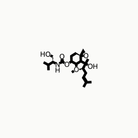 COC1C(OC(=O)N[C@@H](CO)C(C)C)CC[C@]2(CO2)C1C(C)(O)[C@H](C)CC=C(C)C